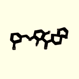 O=C(c1ccc2nccnc2c1)c1c(F)ccc(OCc2cccc(Cl)c2)c1F